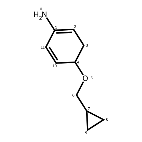 NC1=CCC(OCC2CC2)C=C1